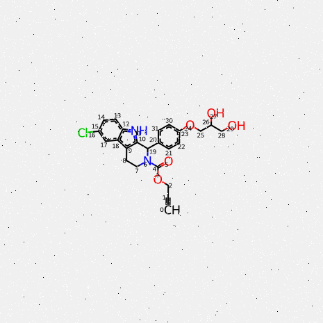 C#CCOC(=O)N1CCc2c([nH]c3ccc(Cl)cc23)C1c1ccc(OCC(O)CO)cc1